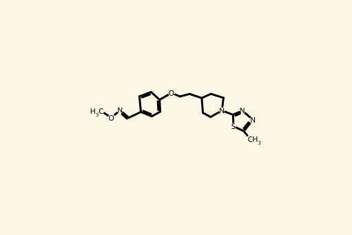 CON=Cc1ccc(OCCC2CCN(c3nnc(C)s3)CC2)cc1